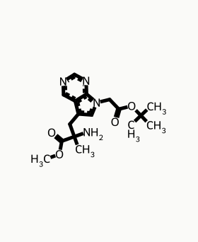 COC(=O)C(C)(N)Cc1cn(CC(=O)OC(C)(C)C)c2ncncc12